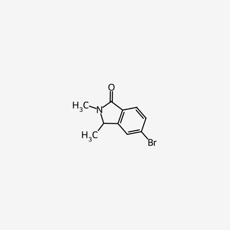 CC1c2cc(Br)ccc2C(=O)N1C